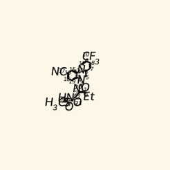 CCc1oc(N(Cc2ccc(C(F)(F)F)cn2)c2ccc(C#N)cc2)nc1C(=O)N[S+](C)[O-]